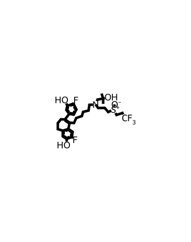 CC(C)(O)CN(CCCCCCC1=C(c2ccc(F)c(O)c2)CCCc2cc(O)c(F)cc21)CCC[S+]([O-])CCC(F)(F)F